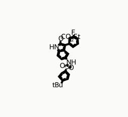 CCOC(=O)Oc1[nH]c2ccc(NS(=O)(=O)c3ccc(C(C)(C)C)cc3)cc2c1-c1cccc(F)c1